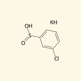 O=S(O)c1cccc(Cl)c1.[KH]